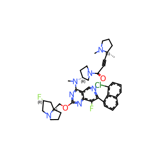 CN(c1nc(OC[C@@]23CCCN2C[C@H](F)C3)nc2c(F)c(-c3cccc4cccc(Cl)c34)ncc12)[C@@H]1CCN(C(=O)C#C[C@]2(C)CCCN2C)C1